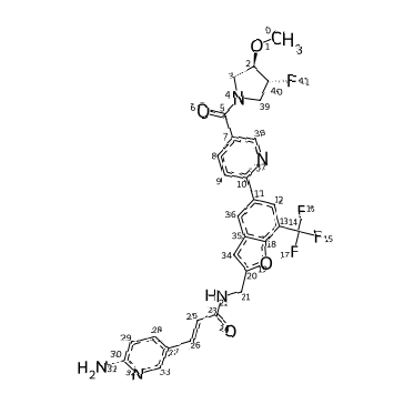 CO[C@@H]1CN(C(=O)c2ccc(-c3cc(C(F)(F)F)c4oc(CNC(=O)C=Cc5ccc(N)nc5)cc4c3)nc2)C[C@H]1F